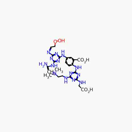 C=C(N)Nc1nc(/N=C\COO)nc(Nc2ccc(Nc3nc(NCCN(C)C)nc(NCC(=O)O)n3)c(C(=O)O)c2)n1